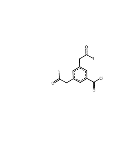 O=C(I)Cc1cc(CC(=O)I)cc(C(=O)Cl)c1